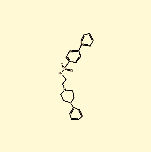 O=S(=O)(NCCN1CCC(c2ccccc2)CC1)c1ccc(-c2ccccc2)cc1